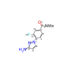 CNC(=O)c1ccc(-n2ccc(N)n2)c(F)c1